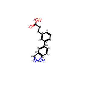 O=C(O)CCc1cccc(-c2ccc3[nH]ncc3c2)c1